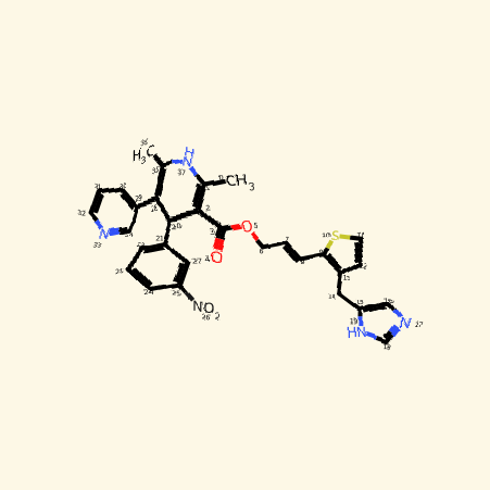 CC1=C(C(=O)OC/C=C/c2sccc2Cc2cnc[nH]2)C(c2cccc([N+](=O)[O-])c2)C(c2cccnc2)=C(C)N1